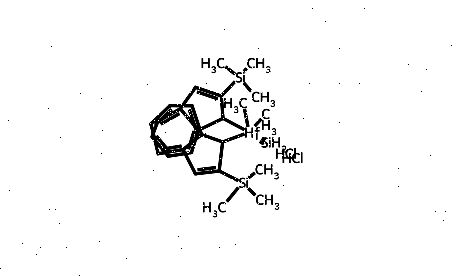 C[Si](C)(C)C1=Cc2ccccc2[CH]1[Hf]([CH3])([CH3])(=[SiH2])[CH]1C([Si](C)(C)C)=Cc2ccccc21.Cl.Cl